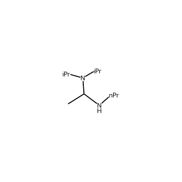 CCCNC(C)N(C(C)C)C(C)C